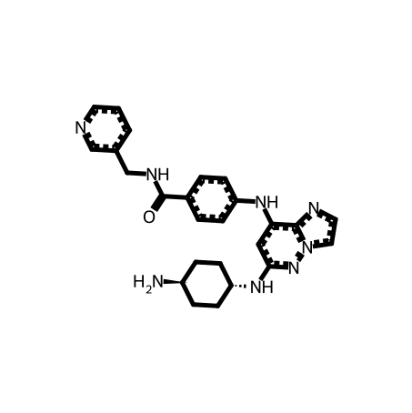 N[C@H]1CC[C@H](Nc2cc(Nc3ccc(C(=O)NCc4cccnc4)cc3)c3nccn3n2)CC1